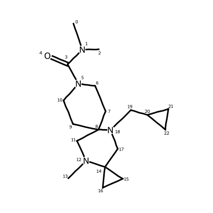 CN(C)C(=O)N1CCC2(CC1)CN(C)C1(CC1)CN2CC1CC1